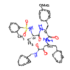 COc1ccc(C[C@H](NC(=O)[C@H](C)NS(=O)(=O)c2ccccc2C)C(=O)N[C@@H](Cc2ccccc2)C(=O)C(=O)NCc2ccccc2)cc1